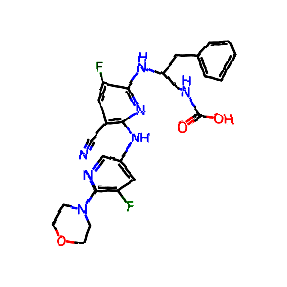 N#Cc1cc(F)c(NC(CNC(=O)O)Cc2ccccc2)nc1Nc1cnc(N2CCOCC2)c(F)c1